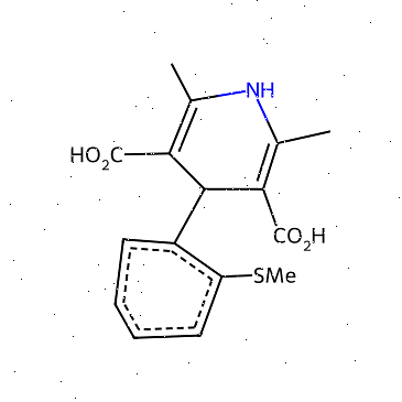 CSc1ccccc1C1C(C(=O)O)=C(C)NC(C)=C1C(=O)O